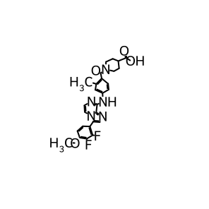 COc1ccc(-c2cnc3c(Nc4ccc(C(=O)N5CCC(C(=O)O)CC5)c(C)c4)nccn23)c(F)c1F